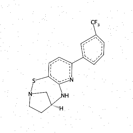 FC(F)(F)c1cccc(-c2ccc3c(n2)N[C@H]2CCN(C2)S3)c1